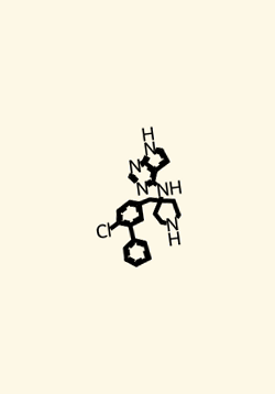 Clc1ccc(CC2(Nc3ncnc4[nH]ccc34)CCNCC2)cc1-c1ccccc1